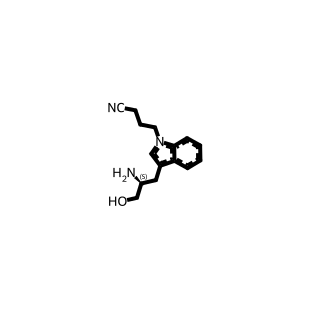 N#CCCCn1cc(C[C@H](N)CO)c2ccccc21